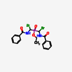 CCOP(=O)(C(Br)NC(=O)c1ccccc1)C(Br)NC(=O)c1ccccc1